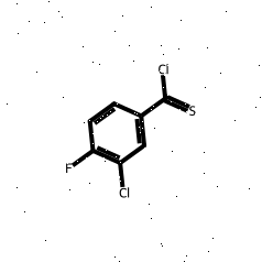 Fc1ccc(C(=S)Cl)cc1Cl